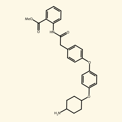 COC(=O)c1ccccc1NC(=O)Cc1ccc(Oc2ccc(OC3CCC(N)CC3)cc2)cc1